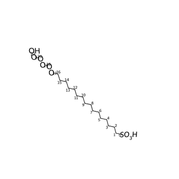 O=S(=O)(O)CCCCCCCCCCCCCCCCOOOOOO